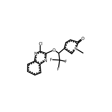 Cn1cc(C(Oc2nc3ccccc3nc2Cl)C(F)(F)F)ccc1=O